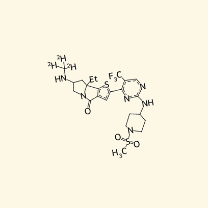 [2H]C([2H])([2H])NC1CN2C(=O)c3cc(-c4nc(NC5CCN(S(C)(=O)=O)CC5)ncc4C(F)(F)F)sc3C2(CC)C1